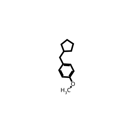 COc1ccc(CC2CCCC2)cc1